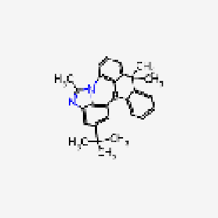 Cc1nc2cc(C(C)(C)C)cc3c2n1-c1cccc2c1B3c1ccccc1C2(C)C